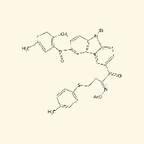 CCn1c2ccc(C(=O)C3=C(C)CCC(C)=C3)cc2c2cc(C(=O)/C(CCSc3ccc(C)cc3)=N/OC(C)=O)ccc21